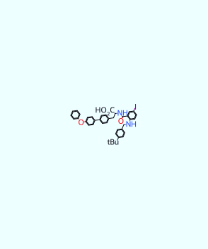 CC(C)(C)c1ccc(CNc2ccc(I)cc2C(=O)N[C@@H](Cc2ccc(-c3ccc(Oc4ccccc4)cc3)cc2)C(=O)O)cc1